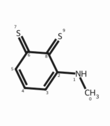 CNC1=CC=CC(=S)C1=S